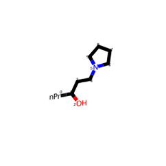 CCCC(O)CCN1CCCC1